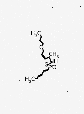 CC/C=C/C=C/S(=O)(=O)N[C@H](C)/C=C\COCCCC